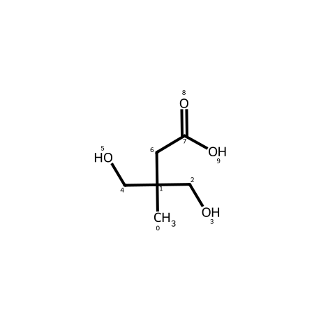 CC(CO)(CO)CC(=O)O